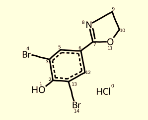 Cl.Oc1c(Br)cc(C2=NCCO2)cc1Br